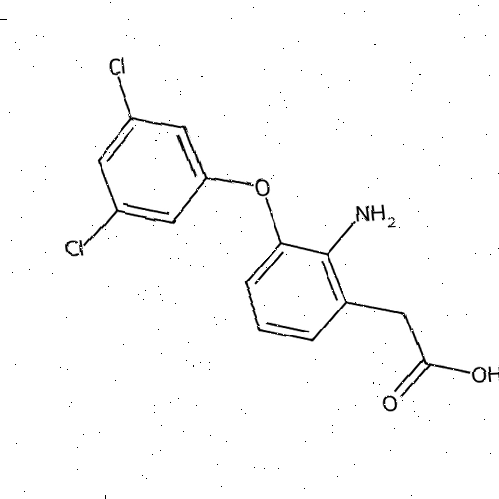 Nc1c(CC(=O)O)cccc1Oc1cc(Cl)cc(Cl)c1